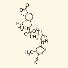 Cc1cc(-n2cc(CNC[C@@H](c3ccc4c(c3C)COC4=O)N(C)S(C)(=O)=O)cn2)ncc1C#N